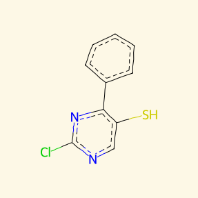 Sc1cnc(Cl)nc1-c1ccccc1